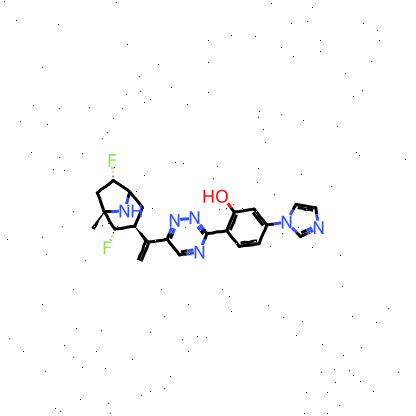 C=C(c1cnc(-c2ccc(-n3ccnc3)cc2O)nn1)[C@@H]1CC2N[C@@](C)(C[C@@H]2F)[C@H]1F